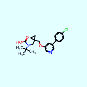 CC(C)(C)N(CC1(COc2cncc(-c3ccc(Cl)cc3)c2)CC1)C(=O)O